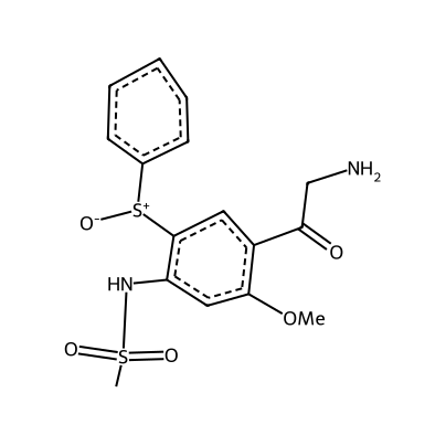 COc1cc(NS(C)(=O)=O)c([S+]([O-])c2ccccc2)cc1C(=O)CN